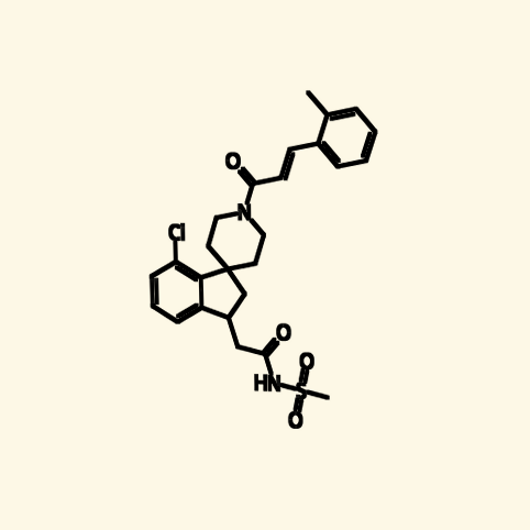 Cc1ccccc1/C=C/C(=O)N1CCC2(CC1)CC(CC(=O)NS(C)(=O)=O)c1cccc(Cl)c12